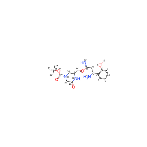 COc1ccccc1C(N)CC(=N)OCC1CN(C(=O)OC(C)(C)C)CC(=O)N1